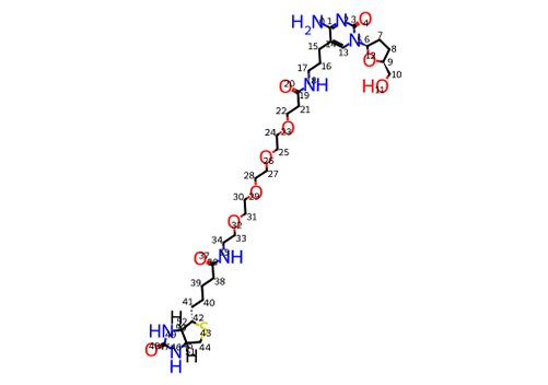 Nc1nc(=O)n([C@H]2CC[C@@H](CO)O2)cc1CCCNC(=O)CCOCCOCCOCCOCCNC(=O)CCCC[C@@H]1SC[C@@H]2NC(=O)N[C@@H]21